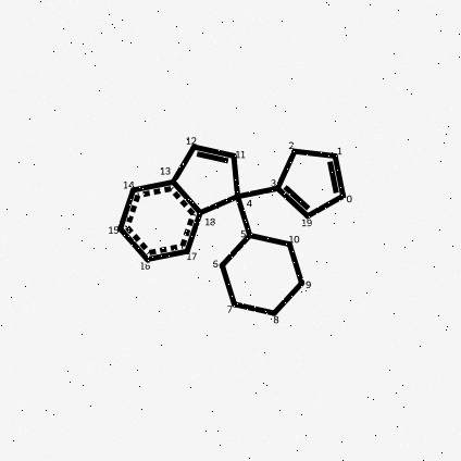 C1=CCC(C2(C3CCCCC3)C=Cc3ccccc32)=C1